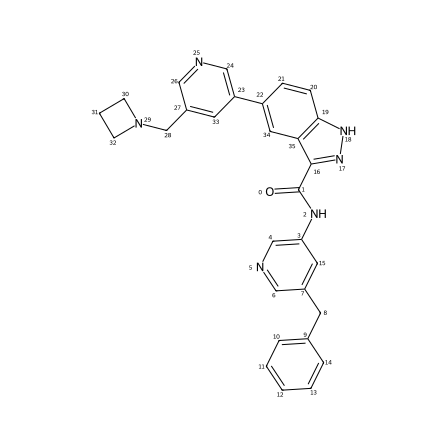 O=C(Nc1cncc(Cc2ccccc2)c1)c1n[nH]c2ccc(-c3cncc(CN4CCC4)c3)cc12